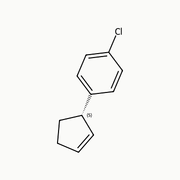 Clc1ccc([C@@H]2C=CCC2)cc1